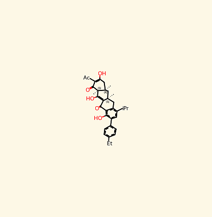 CCc1ccc(-c2cc(C(C)C)c3c(c2O)C(=O)C2=C(O)[C@@]4(C)C(=O)C(C(C)=O)=C(O)C[C@@]4(C)C[C@@]2(C)C3)cc1